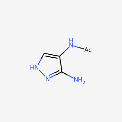 CC(=O)Nc1c[nH]nc1N